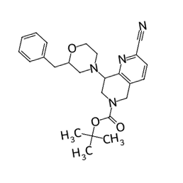 CC(C)(C)OC(=O)N1Cc2ccc(C#N)nc2C(N2CCOC(Cc3ccccc3)C2)C1